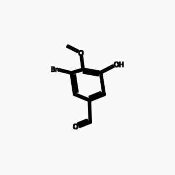 COc1c(O)cc(C=O)cc1Br